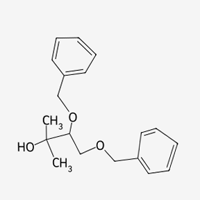 CC(C)(O)C(COCc1ccccc1)OCc1ccccc1